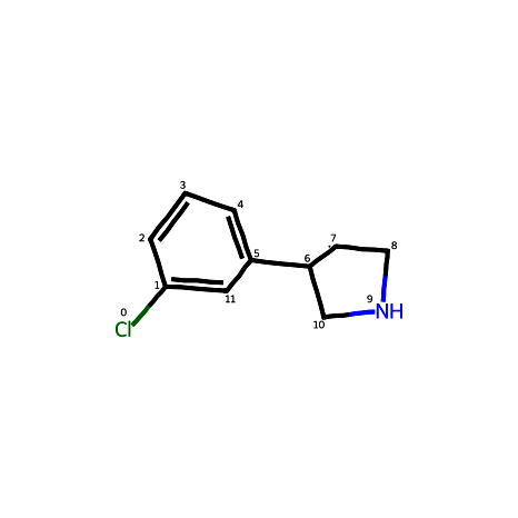 Clc1cccc(C2[CH]CNC2)c1